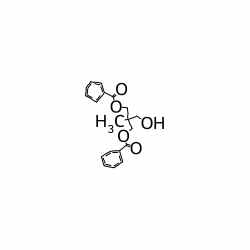 CC(CO)(COC(=O)c1ccccc1)COC(=O)c1ccccc1